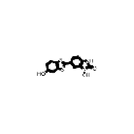 O=c1[nH]c2ccc(-c3nc4ccc(O)cc4s3)cc2n1O